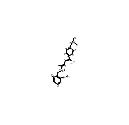 CC/C(=C\C=C(/C)NCc1c(C)cccc1OC)c1ccc(CN(C)C)cc1